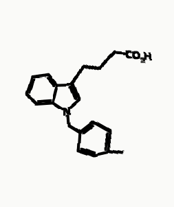 Cc1ccc(Cn2cc(CCCC(=O)O)c3ccccc32)cc1